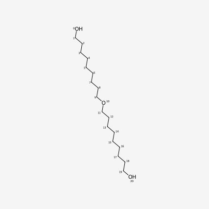 OCCCCCCCCCOCCCCCCCCCO